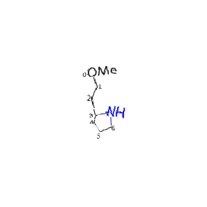 COCCC1CCCN1